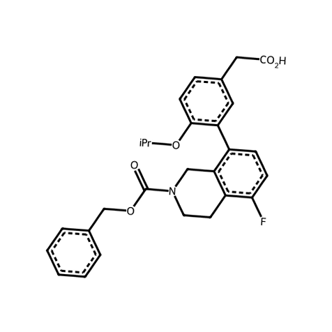 CC(C)Oc1ccc(CC(=O)O)cc1-c1ccc(F)c2c1CN(C(=O)OCc1ccccc1)CC2